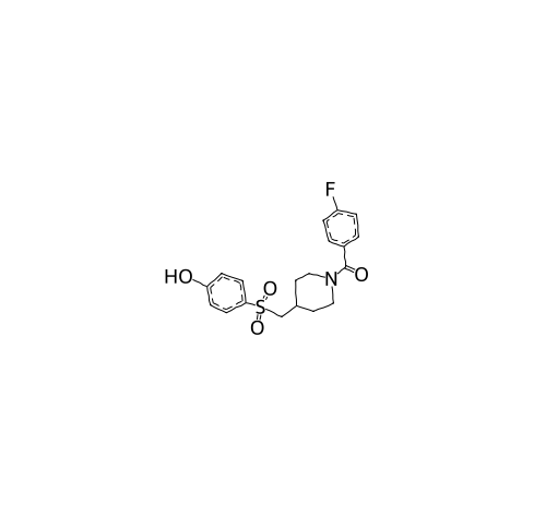 O=C(c1ccc(F)cc1)N1CCC(CS(=O)(=O)c2ccc(O)cc2)CC1